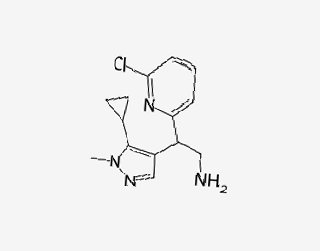 Cn1ncc(C(CN)c2cccc(Cl)n2)c1C1CC1